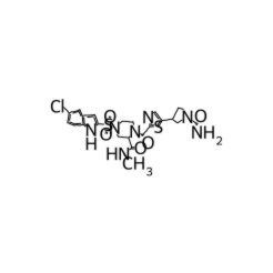 CNC(=O)C1CN(S(=O)(=O)c2cc3cc(Cl)ccc3[nH]2)CCN1C(=O)c1ncc(C2CCN(C(N)=O)C2)s1